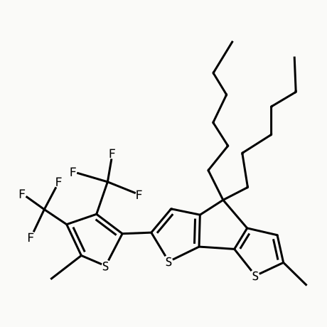 CCCCCCC1(CCCCCC)c2cc(C)sc2-c2sc(-c3sc(C)c(C(F)(F)F)c3C(F)(F)F)cc21